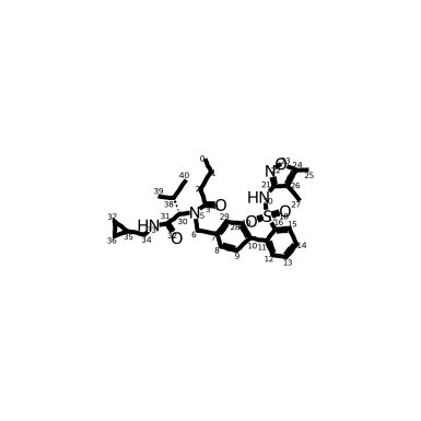 CCCC(=O)N(Cc1ccc(-c2ccccc2S(=O)(=O)Nc2noc(C)c2C)cc1)[C@H](C(=O)NCC1CC1)C(C)C